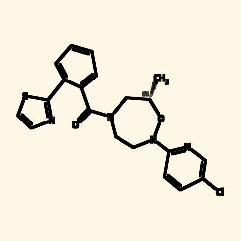 C[C@H]1CN(C(=O)c2ccccc2-c2nccs2)CCN(c2ccc(Cl)cn2)O1